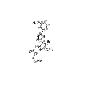 CSCOC(=O)Cn1nc(C)c(Br)c1-c1nsc(-c2cccc(C)c2)n1